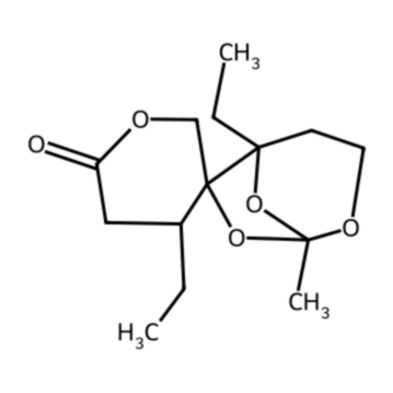 CCC1CC(=O)OCC12OC1(C)OCCC2(CC)O1